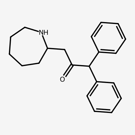 O=C(CC1CCCCCN1)C(c1ccccc1)c1ccccc1